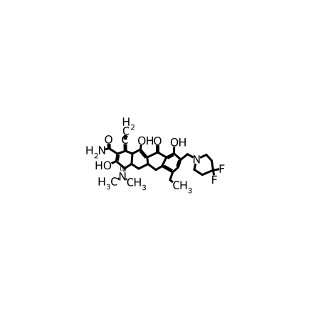 C=C=C1C(C(N)=O)=C(O)[C@@H](N(C)C)C2CC3Cc4c(CC)cc(CN5CCC(F)(F)CC5)c(O)c4C(=O)C3=C(O)C12